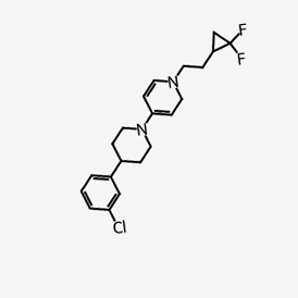 FC1(F)CC1CCN1C=CC(N2CCC(c3cccc(Cl)c3)CC2)=CC1